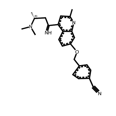 Cc1cc(C(=N)C[C@@H](C)N(C)C)c2ccc(OCc3ccc(C#N)cc3)cc2n1